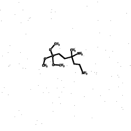 CO[Si](CCC(C)(N)CCN)(OC)OC